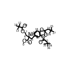 COC(=O)[C@@](N)(CCOC(=O)C(C)(C)C)Cc1ccc(OC(=O)CC(C)(C)C)c(OC(=O)CC(C)(C)C)c1